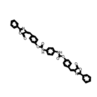 O=C(Nc1ccc(NC(=O)Oc2ccc(/C=C3/N=C(c4ccccc4)OC3=O)cc2)cc1)Oc1ccc(/C=C2/N=C(c3ccccc3)OC2=O)cc1